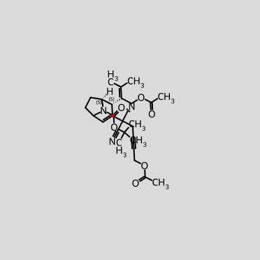 CC(=O)OCC#CCC(C#N)(C#N)C1=CC2CC[C@@H]([C@@H]1C(COC(C)=O)=C(C)C)N2C(=O)OC(C)(C)C